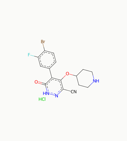 Cl.N#Cc1n[nH]c(=O)c(-c2ccc(Br)c(F)c2)c1OC1CCNCC1